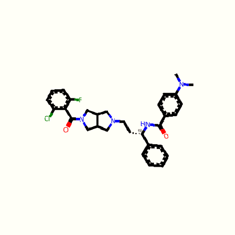 CN(C)c1ccc(C(=O)N[C@@H](CCN2CC3CN(C(=O)c4c(F)cccc4Cl)CC3C2)c2ccccc2)cc1